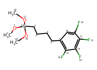 CO[Si](CCCCc1cc(F)c(F)c(F)c1F)(OC)OC